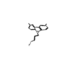 Cc1ccc2c(c1)c1cc(C)ccc1n2CCCC[P]